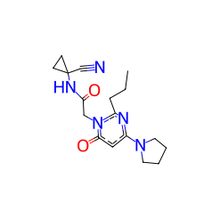 CCCc1nc(N2CCCC2)cc(=O)n1CC(=O)NC1(C#N)CC1